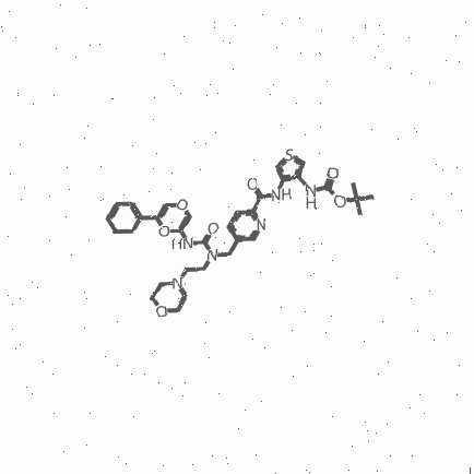 CC(C)(C)OC(=O)Nc1cscc1NC(=O)c1ccc(CN(CCN2CCOCC2)C(=O)NC2=COC=C(C3=CC=CCC3)O2)cn1